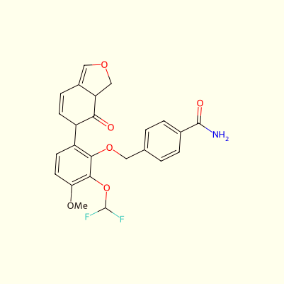 COc1ccc(C2C=CC3=COCC3C2=O)c(OCc2ccc(C(N)=O)cc2)c1OC(F)F